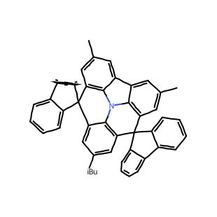 CCC(C)c1cc2c3c(c1)C1(c4ccccc4-c4ccccc41)c1cc(C)cc4c5cc(C)cc(c5n-3c14)C21c2ccccc2-c2ccccc21